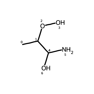 CC(OO)C(N)O